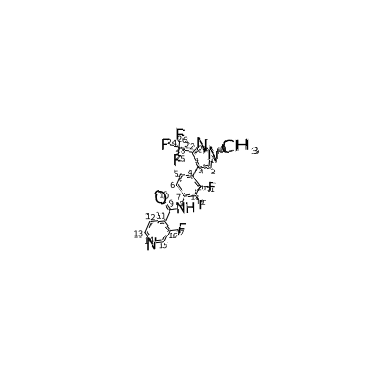 Cn1cc(-c2ccc(NC(=O)c3ccncc3F)c(F)c2F)c(C(F)(F)F)n1